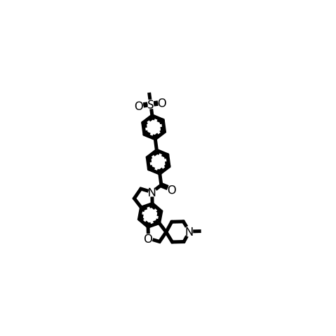 CN1CCC2(CC1)COc1cc3c(cc12)N(C(=O)c1ccc(-c2ccc(S(C)(=O)=O)cc2)cc1)CC3